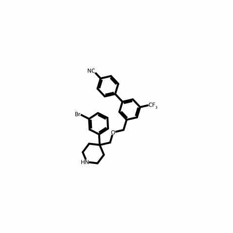 N#Cc1ccc(-c2cc(COCC3(c4cccc(Br)c4)CCNCC3)cc(C(F)(F)F)c2)cc1